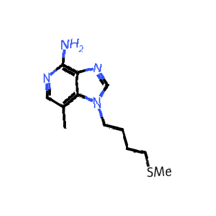 CSCCCCn1cnc2c(N)ncc(C)c21